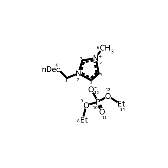 CCCCCCCCCCCn1cc[n+](C)c1.CCOP(=O)([O-])OCC